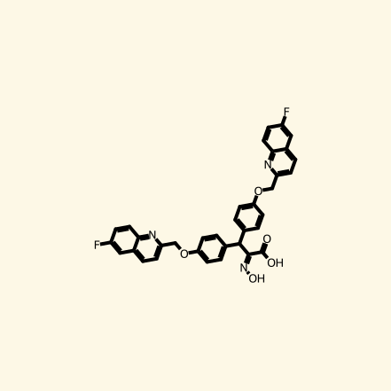 O=C(O)/C(=N\O)C(c1ccc(OCc2ccc3cc(F)ccc3n2)cc1)c1ccc(OCc2ccc3cc(F)ccc3n2)cc1